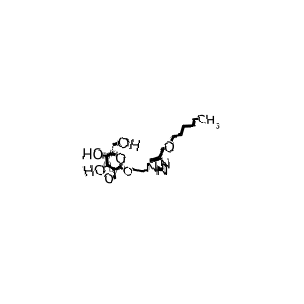 CCCCCCOCc1cn(CCO[C@H]2O[C@@H](CO)[C@H](O)[C@@H](O)[C@@H]2C=O)nn1